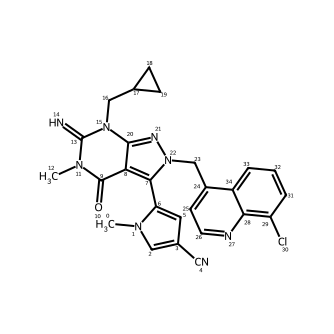 Cn1cc(C#N)cc1-c1c2c(=O)n(C)c(=N)n(CC3CC3)c2nn1Cc1ccnc2c(Cl)cccc12